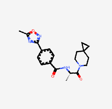 Cc1nc(-c2ccc(C(=O)N[C@@H](C)C(=O)N3CCC4(CC3)CC4)cc2)no1